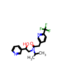 CC(C)N(CC(O)c1cccnc1)C(=O)Cc1ccc(C(F)(F)F)nc1